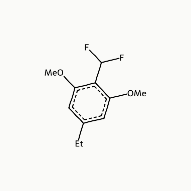 CCc1cc(OC)c(C(F)F)c(OC)c1